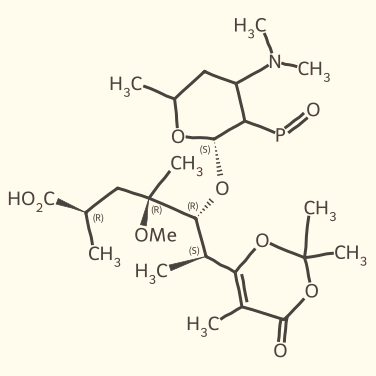 CO[C@](C)(C[C@@H](C)C(=O)O)[C@H](O[C@@H]1OC(C)CC(N(C)C)C1P=O)[C@H](C)C1=C(C)C(=O)OC(C)(C)O1